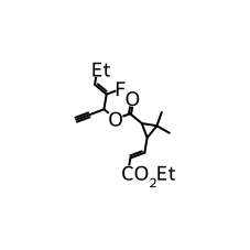 C#CC(OC(=O)C1C(C=CC(=O)OCC)C1(C)C)C(F)=CCC